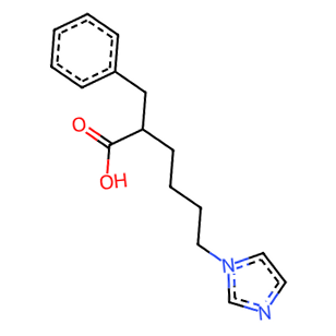 O=C(O)C(CCCCn1ccnc1)Cc1ccccc1